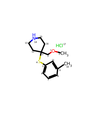 COCC1(Sc2cccc(C)c2)CCNCC1.Cl